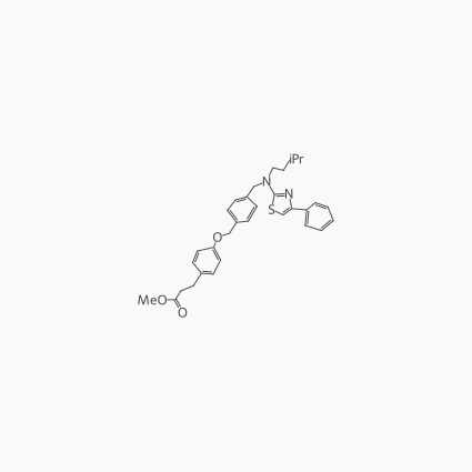 COC(=O)CCc1ccc(OCc2ccc(CN(CCC(C)C)c3nc(-c4ccccc4)cs3)cc2)cc1